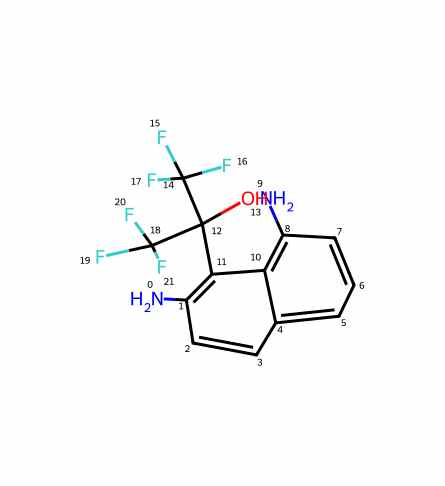 Nc1ccc2cccc(N)c2c1C(O)(C(F)(F)F)C(F)(F)F